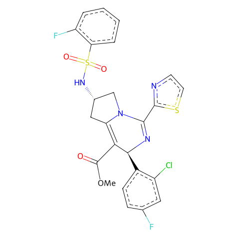 COC(=O)C1=C2C[C@H](NS(=O)(=O)c3ccccc3F)CN2C(c2nccs2)=N[C@H]1c1ccc(F)cc1Cl